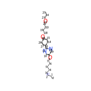 CC/C=C\CCCCOc1cnc(-c2ccc(OCCCCOCCC)cc2)nc1